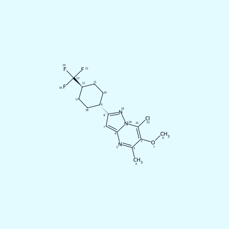 COc1c(C)nc2cc([C@H]3CC[C@H](C(F)(F)F)CC3)nn2c1Cl